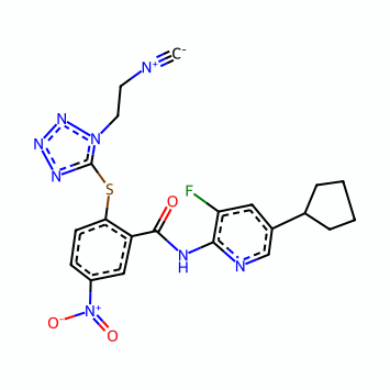 [C-]#[N+]CCn1nnnc1Sc1ccc([N+](=O)[O-])cc1C(=O)Nc1ncc(C2CCCC2)cc1F